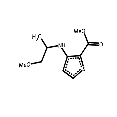 COCC(C)Nc1ccsc1C(=O)OC